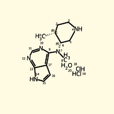 C[C@@H]1CCNC[C@@H]1N(C)c1ncnc2[nH]ccc12.Cl.Cl.O